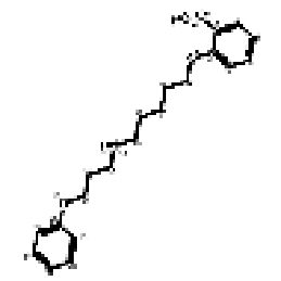 O=C(O)c1ccccc1SCCCCCNCCCOc1ccccc1